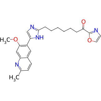 COc1cc2nc(C)ccc2cc1-c1cnc(CCCCCCC(=O)c2ncco2)[nH]1